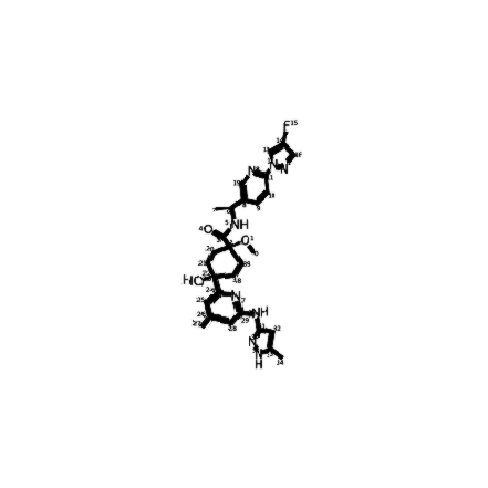 CO[C@]1(C(=O)N[C@@H](C)c2ccc(-n3cc(F)cn3)nc2)CC[C@@](O)(c2cc(C)cc(Nc3cc(C)[nH]n3)n2)CC1